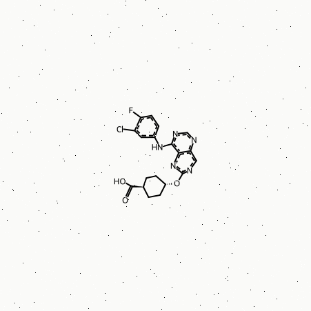 O=C(O)[C@H]1CC[C@H](Oc2ncc3ncnc(Nc4ccc(F)c(Cl)c4)c3n2)CC1